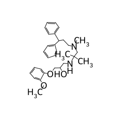 COc1ccccc1OCC(O)CNC(C)(C)CN(C)CCC(c1ccccc1)c1ccccc1